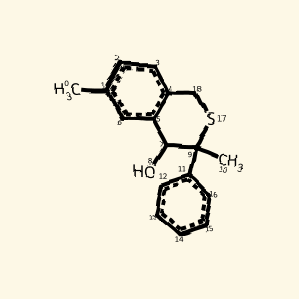 Cc1ccc2c(c1)C(O)C(C)(c1ccccc1)SC2